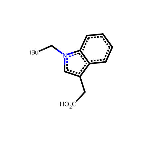 CCC(C)Cn1cc(CC(=O)O)c2ccccc21